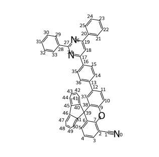 N#Cc1cccc2c1Oc1ccc(-c3ccc(-c4cc(-c5ccccc5)nc(-c5ccccc5)n4)cc3)cc1C21c2ccccc2-c2ccccc21